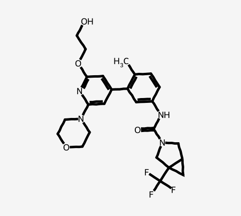 Cc1ccc(NC(=O)N2CC3CC3(C(F)(F)F)C2)cc1-c1cc(OCCO)nc(N2CCOCC2)c1